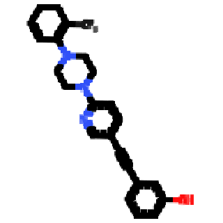 Oc1cccc(C#Cc2ccc(N3CCN(C4=C(C(F)(F)F)[CH]CC=C4)CC3)nc2)c1